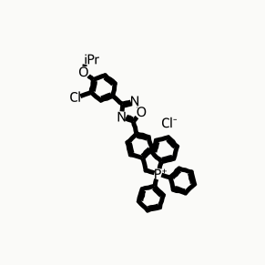 CC(C)Oc1ccc(-c2noc(-c3ccc(C[P+](c4ccccc4)(c4ccccc4)c4ccccc4)cc3)n2)cc1Cl.[Cl-]